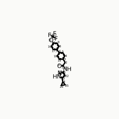 O=C(Cc1ccc(-c2ccc(OC(F)(F)F)cc2)cc1)Nc1cc(C2CC2)[nH]n1